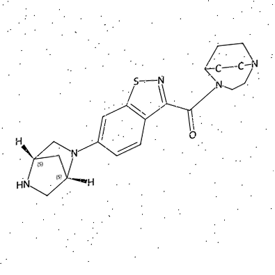 O=C(c1nsc2cc(N3C[C@@H]4C[C@H]3CN4)ccc12)N1CCN2CCC1CC2